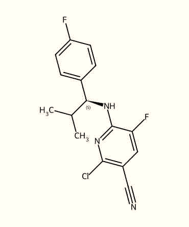 CC(C)[C@H](Nc1nc(Cl)c(C#N)cc1F)c1ccc(F)cc1